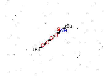 CC(C)(C)CCNC(=O)CCOCCOCCOCCOCCC(C)(C)C